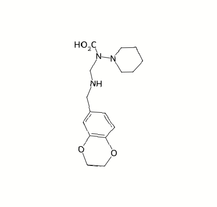 O=C(O)N(CNCc1ccc2c(c1)OCCO2)N1CCCCC1